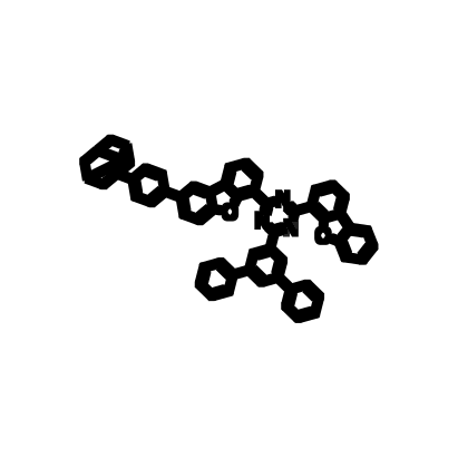 c1ccc(-c2cc(-c3ccccc3)cc(-c3nc(-c4cccc5c4oc4ccccc45)nc(-c4cccc5c4oc4ccc(-c6ccc(C78CC9CC(CC(C9)C7)C8)cc6)cc45)n3)c2)cc1